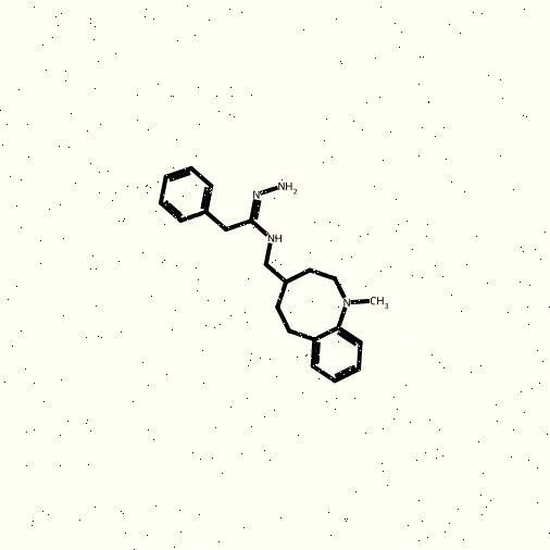 CN1CCC(CN/C(Cc2ccccc2)=N\N)CCc2ccccc21